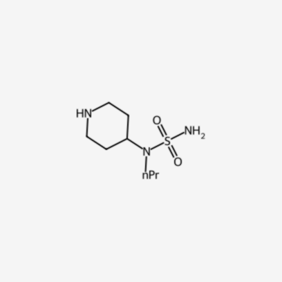 CCCN(C1CCNCC1)S(N)(=O)=O